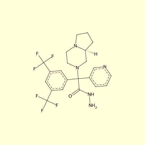 NNC(=O)C(c1cccnc1)(c1cc(C(F)(F)F)cc(C(F)(F)F)c1)N1CCN2CCC[C@H]2C1